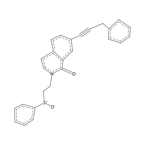 O=c1c2cc(C#CCc3ccccc3)ccc2ccn1CC[S+]([O-])c1ccccc1